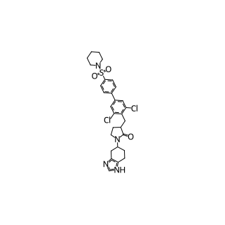 O=C1C(Cc2c(Cl)cc(-c3ccc(S(=O)(=O)N4CCCCC4)cc3)cc2Cl)CCN1C1CCc2[nH]cnc2C1